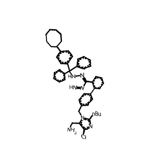 CCCCc1nc(Cl)c(CN)n1Cc1ccc(-c2ccccc2/C(N=N)=N/NC(c2ccccc2)(c2ccccc2)c2ccc(C3CCCCCCC3)cc2)cc1